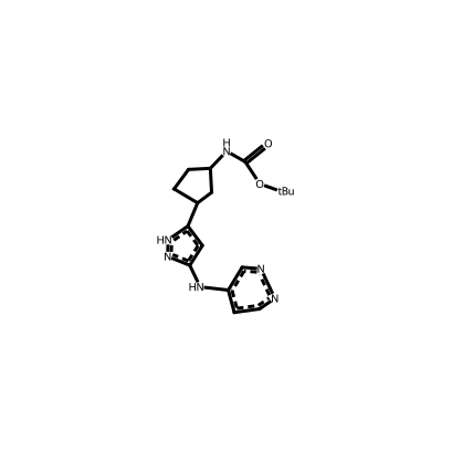 CC(C)(C)OC(=O)NC1CCC(c2cc(Nc3ccnnc3)n[nH]2)C1